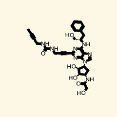 CC#CCNC(=O)NCC#Cc1nc(N[C@H](CO)Cc2ccccc2)c2ncn([C@@H]3C[C@H](NC(=O)CO)[C@@H](O)[C@H]3O)c2n1